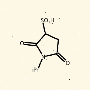 CC(C)N1C(=O)CC(S(=O)(=O)O)C1=O